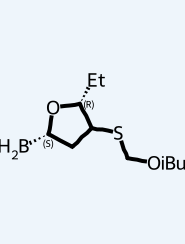 B[C@H]1CC(SCOCC(C)C)[C@@H](CC)O1